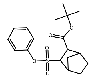 CC(C)(C)OC(=O)C1C2CCC(C2)C1S(=O)(=O)Oc1ccccc1